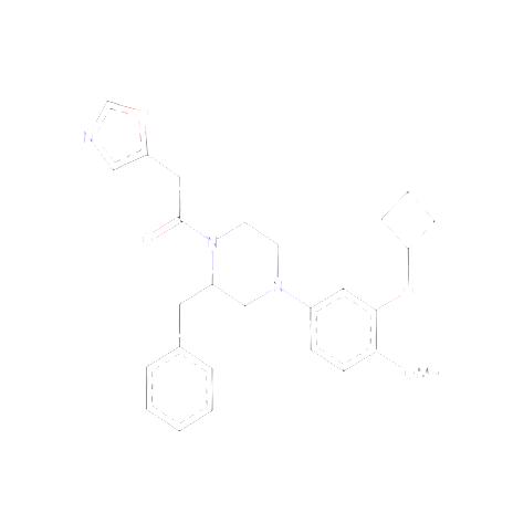 COc1ccc(N2CCN(C(=O)Cc3cnco3)C(Cc3ccccc3)C2)cc1OC1CCC1